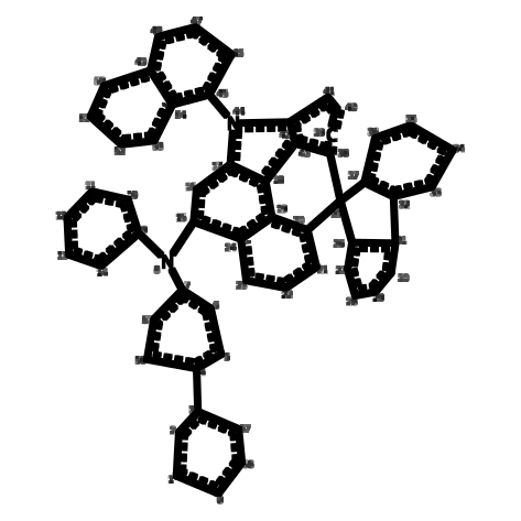 c1ccc(-c2ccc(N(c3ccccc3)c3cc4c5c6c(cccc36)C3(c6ccccc6-c6ccccc63)c3cccc(c35)n4-c3cccc4ccccc34)cc2)cc1